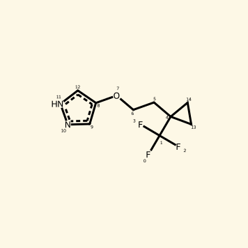 FC(F)(F)C1(CCOc2cn[nH]c2)CC1